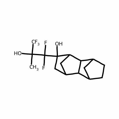 CC(O)(C(F)(F)F)C(F)(F)C1(O)CC2CC1C1C3CCC(C3)C21